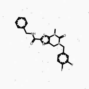 CN1C(=O)N(Cc2ccc(F)c(F)c2)Cc2nc(C(=O)NCc3ccccc3)sc21